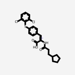 O=C(CCC1CCCC1)N/C(=C/c1ccc(Sc2c(Cl)cccc2Cl)cc1)C(=O)O